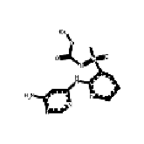 CC(C)(C)OC(=O)N=S(C)(=O)c1cccnc1Nc1cc(N)ncn1